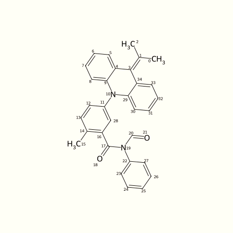 CC(C)=C1c2ccccc2N(c2ccc(C)c(C(=O)N(C=O)c3ccccc3)c2)c2ccccc21